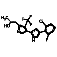 C[C@@H](O)Cn1ncc(-c2cc(-c3c(F)cccc3Cl)c[nH]2)c1C(F)(F)F